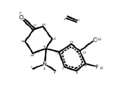 C=C.CN(C)C1(c2ccc(F)c(Cl)c2)CCC(=O)CC1